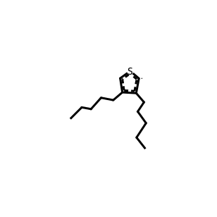 CCCCCc1[c]scc1CCCCC